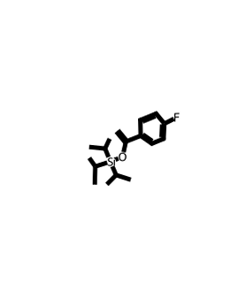 C=C(O[Si](C(C)C)(C(C)C)C(C)C)c1ccc(F)cc1